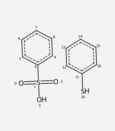 O=S(=O)(O)c1ccccc1.Sc1ccccc1